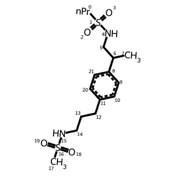 CCCS(=O)(=O)NCC(C)c1ccc(CCCNS(C)(=O)=O)cc1